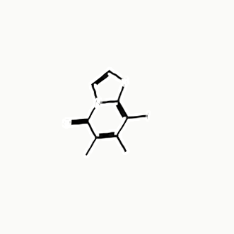 Cc1c(C)c(=O)n2ccsc2c1I